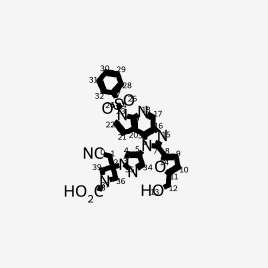 N#CCC1(n2cc(-n3c(-c4ccc(CO)o4)nc4cnc5c(ccn5S(=O)(=O)c5ccccc5)c43)cn2)CN(C(=O)O)C1